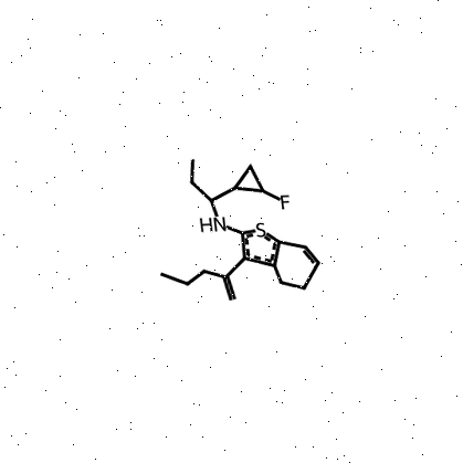 C=C(CCC)c1c(NC(CC)C2CC2F)sc2c1CCC=C2